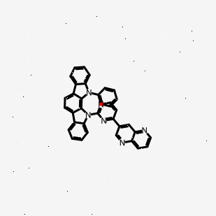 c1ccc(-n2c3ccccc3c3ccc4c5ccccc5n(-c5nccc(-c6cnc7cccnc7c6)n5)c4c32)cc1